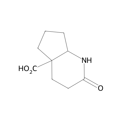 O=C1CCC2(C(=O)O)CCCC2N1